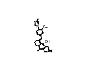 COc1cc(/C=C2\CCCN(C(C)c3ccc(F)cc3)\C2=N\O)ccc1-n1cnc(C)c1